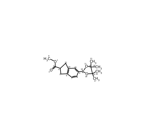 COC(=O)C1Cc2ccc(B3OC(C)(C)C(C)(C)O3)cc2C1